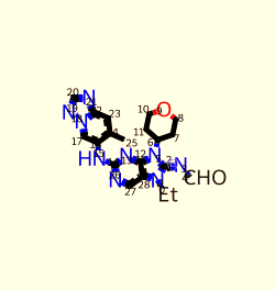 CCn1/c(=N\C=O)n(C2CCOCC2)c2nc(Nc3cn4ncnc4cc3C)ncc21